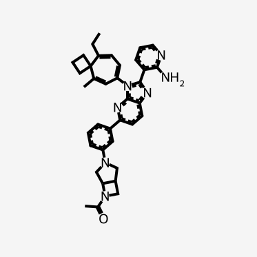 CCC1=CC=C(n2c(-c3cccnc3N)nc3ccc(-c4cccc(N5CC6CN(C(C)=O)C6C5)c4)nc32)C=C(C)C12CCC2